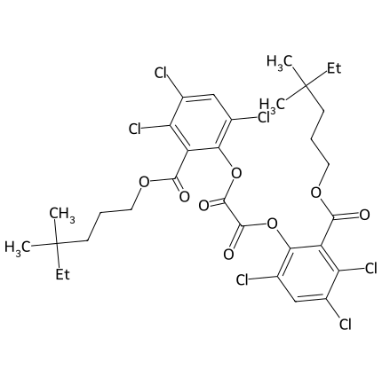 CCC(C)(C)CCCOC(=O)c1c(Cl)c(Cl)cc(Cl)c1OC(=O)C(=O)Oc1c(Cl)cc(Cl)c(Cl)c1C(=O)OCCCC(C)(C)CC